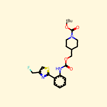 CC(C)(C)OC(=O)N1CCC(COC(=O)Nc2ccccc2-c2nc(CF)cs2)CC1